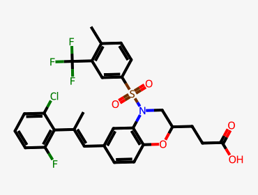 CC(=Cc1ccc2c(c1)N(S(=O)(=O)c1ccc(C)c(C(F)(F)F)c1)CC(CCC(=O)O)O2)c1c(F)cccc1Cl